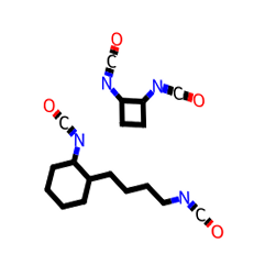 O=C=NC1CCC1N=C=O.O=C=NCCCCC1CCCCC1N=C=O